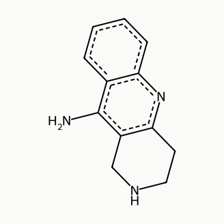 Nc1c2c(nc3ccccc13)CCNC2